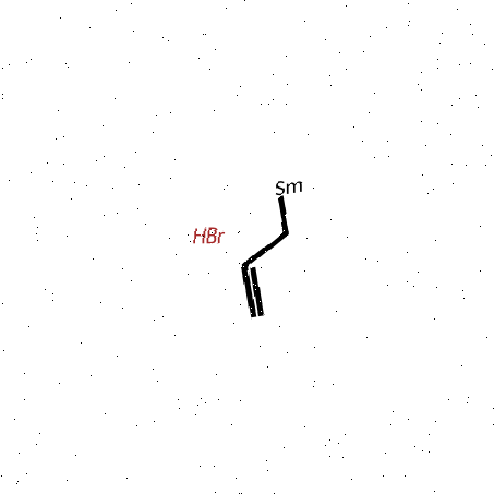 Br.C=C[CH2][Sm]